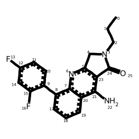 CCCN1Cc2nc3c(-c4ccc(F)cc4F)cccc3c(N)c2C1=O